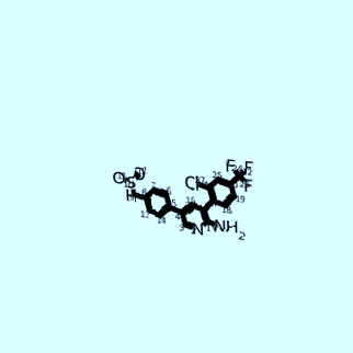 Nc1ncc(-c2ccc(C[SH](=O)=O)cc2)cc1-c1ccc(C(F)(F)F)cc1Cl